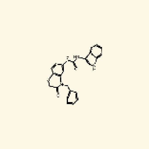 O=C(Nc1ccc2c(c1)N(Cc1ccccc1)C(=O)CO2)Nc1c[nH]c2ccccc12